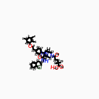 Cc1cc(C)c(C)c(OCCc2ccc(C3=C(C(=O)NC(C)Cc4ccccc4Cl)[C@H]4CN(C(=O)CCC(C)(C)C(=O)O)C[C@@H](C3)N4)cc2)c1